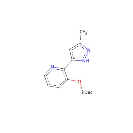 CCCCCCCCCCOc1cccnc1-c1cc(C(F)(F)F)n[nH]1